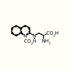 N[C@@H](CN(C(=O)O)c1ccc2ccccc2n1)C(=O)O